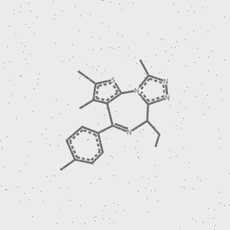 CCC1N=C(c2ccc(C)cc2)c2c(sc(C)c2C)-n2c(C)nnc21